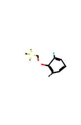 CS(C)(C)COc1c(F)cccc1C=O